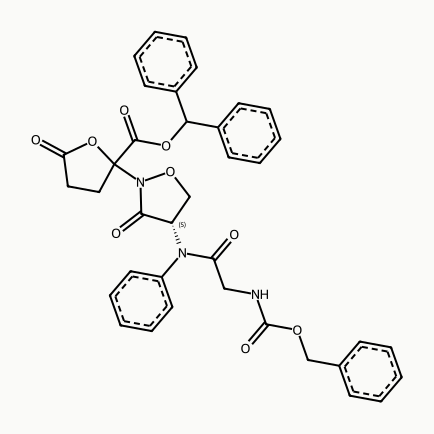 O=C1CCC(C(=O)OC(c2ccccc2)c2ccccc2)(N2OC[C@H](N(C(=O)CNC(=O)OCc3ccccc3)c3ccccc3)C2=O)O1